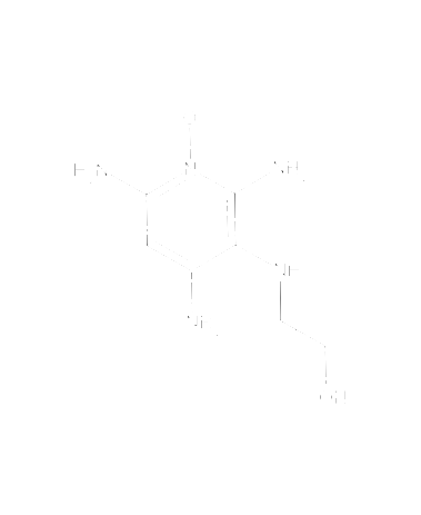 Nc1cc(N)[n+]([O-])c(N)c1NCCO